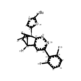 CC(C)(C)c1ncc([C@@]23CC[C@@H](c4cc(-c5c(F)cccc5F)nnc42)C3(C)C)o1